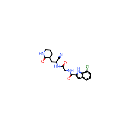 N#CC(CC1CCCNC1=O)NC(=O)CNC(=O)c1cc2cccc(Cl)c2[nH]1